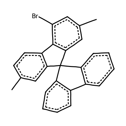 Cc1ccc2c(c1)C1(c3ccccc3-c3ccccc31)c1cc(C)cc(Br)c1-2